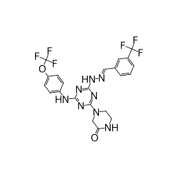 O=C1CN(c2nc(N/N=C/c3cccc(C(F)(F)F)c3)nc(Nc3ccc(OC(F)(F)F)cc3)n2)CCN1